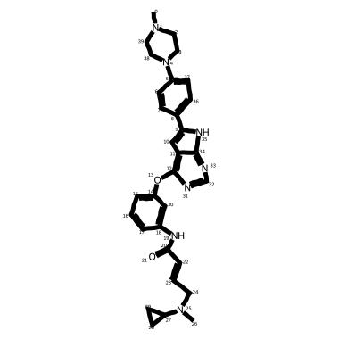 CN1CCN(c2ccc(-c3cc4c(Oc5cccc(NC(=O)/C=C/CN(C)C6CC6)c5)ncnc4[nH]3)cc2)CC1